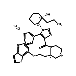 COC[C@]1(O)CCCC[C@H]1n1cnc(C(=O)N2CCNC[C@H]2CCOc2ccnc3ccsc23)c1-c1ccccc1.Cl.Cl